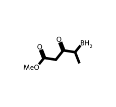 BC(C)C(=O)CC(=O)OC